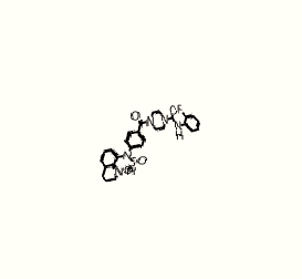 O=C(Nc1ccccc1F)N1CCN(C(=O)c2ccc(N(c3cccc4cccnc34)[SH](=O)=O)cc2)CC1